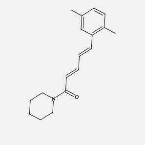 Cc1ccc(C)c(C=CC=CC(=O)N2CCCCC2)c1